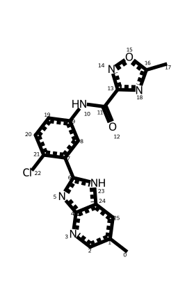 Cc1cnc2nc(-c3cc(NC(=O)c4noc(C)n4)ccc3Cl)[nH]c2c1